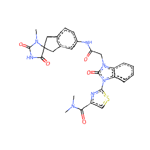 CN(C)C(=O)c1csc(-n2c(=O)n(CC(=O)Nc3ccc4c(c3)CC3(C4)C(=O)NC(=O)N3C)c3ccccc32)n1